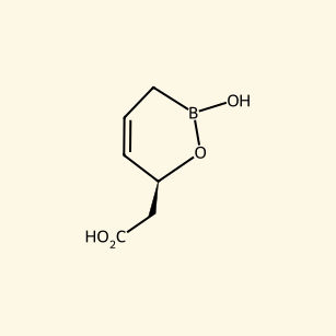 O=C(O)C[C@H]1C=CCB(O)O1